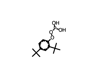 CC(C)(C)c1ccc(OOP(O)O)c(C(C)(C)C)c1